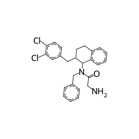 NCC(=O)N(Cc1ccccc1)C1c2ccccc2CCC1Cc1ccc(Cl)c(Cl)c1